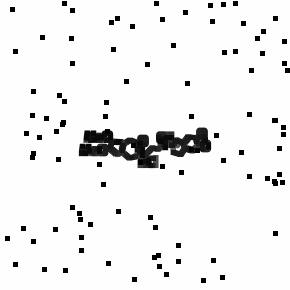 COc1cc2c(cc1OC)CC(=O)N(CCCN(C)C1CCc3cc4c(cc3C1)OCO4)CC2.Cl